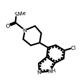 CSC(=O)N1CCC(c2cc(Cl)cc3[nH]ncc23)CC1